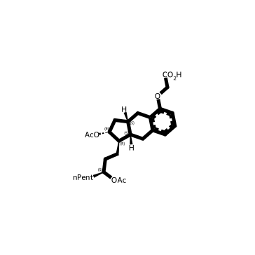 CCCCC[C@@H](CC[C@@H]1[C@H]2Cc3cccc(OCC(=O)O)c3C[C@H]2C[C@H]1OC(C)=O)OC(C)=O